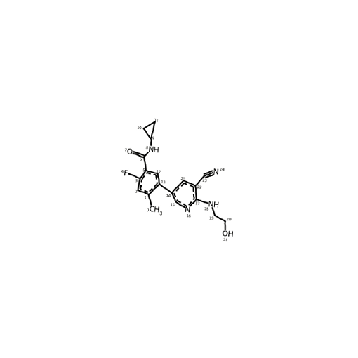 Cc1cc(F)c(C(=O)NC2CC2)cc1-c1cnc(NCCO)c(C#N)c1